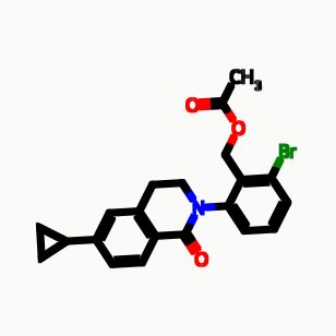 CC(=O)OCc1c(Br)cccc1N1CCc2cc(C3CC3)ccc2C1=O